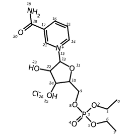 CCOP(=O)(OCC)OCC1OC([n+]2cccc(C(N)=O)c2)C(O)C1O.[Cl-]